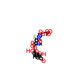 COc1c(N2CCN(C(=O)OCc3oc(=O)oc3C)C(C)C2)c(F)cc2c(=O)c(C(=O)OCC(=O)[C@]3(O)CC[C@@H]4[C@H]5CCC6=CC(=O)C=C[C@@]6(C)[C@@H]5[C@H](O)C[C@]43C)cn(C3CC3)c12